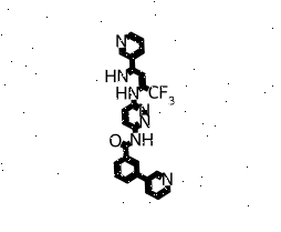 N=C(/C=C(\Nc1ccc(NC(=O)c2cccc(-c3cccnc3)c2)nn1)C(F)(F)F)c1cccnc1